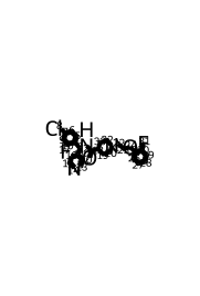 O=C(NC(c1ccc(Cl)cc1)c1ccncc1F)C1CCN(CCOc2ccccc2F)CC1